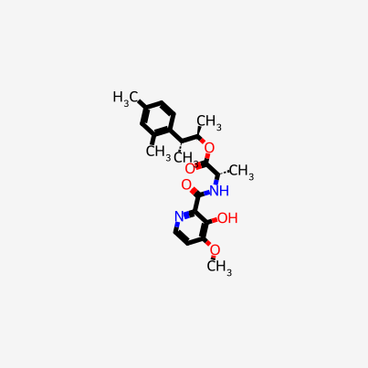 COc1ccnc(C(=O)N[C@@H](C)C(=O)O[C@H](C)[C@H](C)c2ccc(C)cc2C)c1O